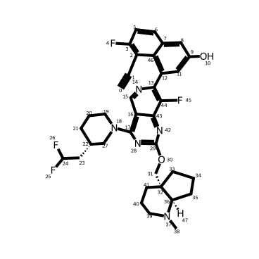 C#Cc1c(F)ccc2cc(O)cc(-c3ncc4c(N5CCC[C@@H](CC(F)F)C5)nc(OC[C@]56CCC[C@H]5N(C)CCC6)nc4c3F)c12